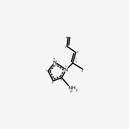 C=C/C=C(/C)n1nccc1N